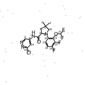 CC1(C)CC(C(=O)Nc2cnnc(Cl)c2)N(c2ccc(F)c(F)c2OC(F)F)C1